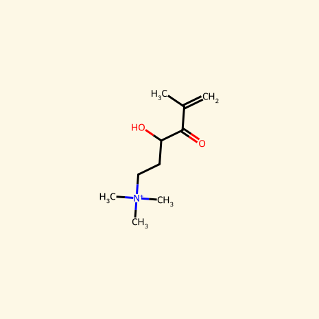 C=C(C)C(=O)C(O)CC[N+](C)(C)C